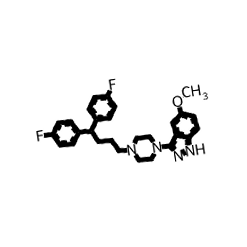 COc1ccc2[nH]nc(N3CCN(CCCC(c4ccc(F)cc4)c4ccc(F)cc4)CC3)c2c1